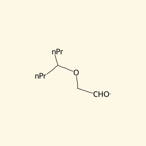 CCCC(CCC)OC[C]=O